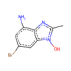 Cc1nc2c(N)cc(Br)cc2n1O